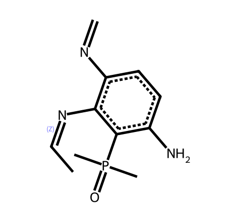 C=Nc1ccc(N)c(P(C)(C)=O)c1/N=C\C